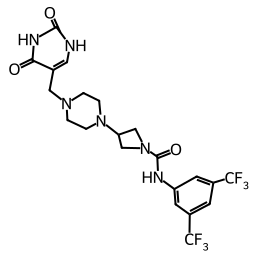 O=C(Nc1cc(C(F)(F)F)cc(C(F)(F)F)c1)N1CC(N2CCN(Cc3c[nH]c(=O)[nH]c3=O)CC2)C1